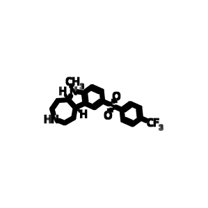 CN1c2ccc(S(=O)(=O)c3ccc(C(F)(F)F)cc3)cc2[C@H]2CCNCC[C@H]21